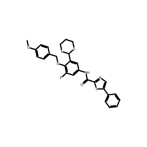 COc1ccc(COc2c(F)cc(NC(=O)c3ncc(-c4ccccc4)s3)cc2C2SCCCS2)cc1